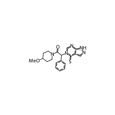 COC1CCN(C(=O)C(c2ccccc2)n2cnc3[nH]ncc3c2=S)CC1